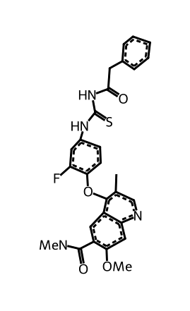 CNC(=O)c1cc2c(Oc3ccc(NC(=S)NC(=O)Cc4ccccc4)cc3F)c(C)cnc2cc1OC